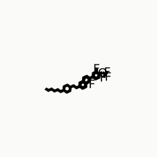 CCCCCCC1CCC(CCc2ccc3c(F)c(-c4ccc(OC(F)(F)F)c(F)c4)ccc3c2)CC1